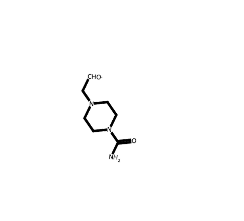 NC(=O)N1CCN(C[C]=O)CC1